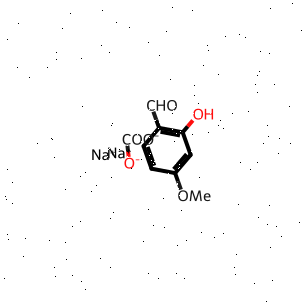 COc1ccc(C=O)c(O)c1.O=C([O-])[O-].[Na+].[Na+]